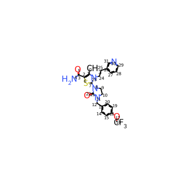 CC1=C(C(N)=O)SC(N2CCN(Cc3ccc(OC(F)(F)F)cc3)C2=O)N1CCc1cccnc1